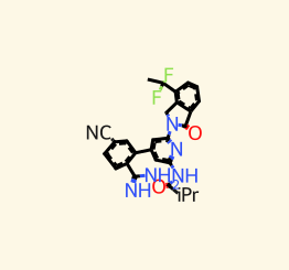 CC(C)C(=O)Nc1cc(-c2cc(C#N)ccc2C(=N)N)cc(N2Cc3c(cccc3C(C)(F)F)C2=O)n1